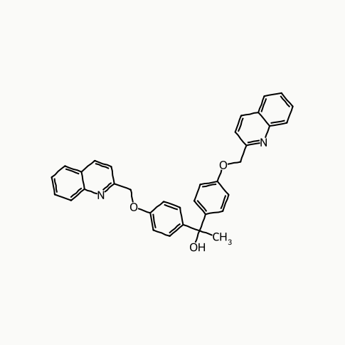 CC(O)(c1ccc(OCc2ccc3ccccc3n2)cc1)c1ccc(OCc2ccc3ccccc3n2)cc1